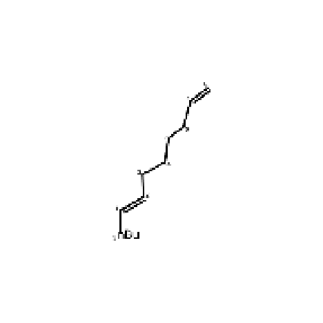 [CH2]CCCC=CCCCCC=C